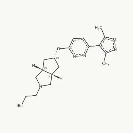 Cc1noc(C)c1-c1ccc(O[C@@H]2C[C@@H]3CN(CCC(C)(C)C)C[C@@H]3C2)nn1